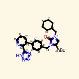 CCCCc1cn(CC2CCCCC2)c(=O)n1Cc1ccc(-c2cccnc2-c2nnn[nH]2)cc1